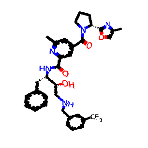 Cc1cc(C(=O)N2CCC[C@@H]2c2nc(C)co2)cc(C(=O)N[C@@H](Cc2ccccc2)[C@@H](O)CNCc2cccc(C(F)(F)F)c2)n1